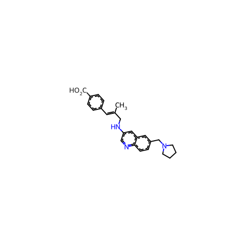 CC(=Cc1ccc(C(=O)O)cc1)CNc1cnc2ccc(CN3CCCC3)cc2c1